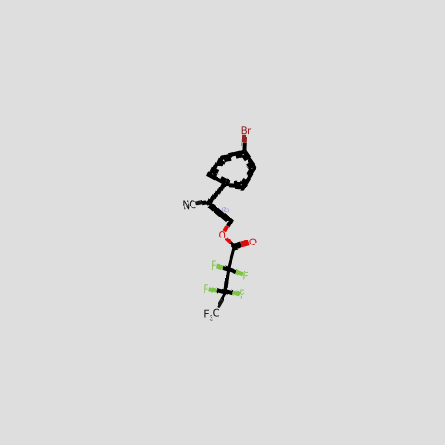 N#C/C(=C\OC(=O)C(F)(F)C(F)(F)C(F)(F)F)c1ccc(Br)cc1